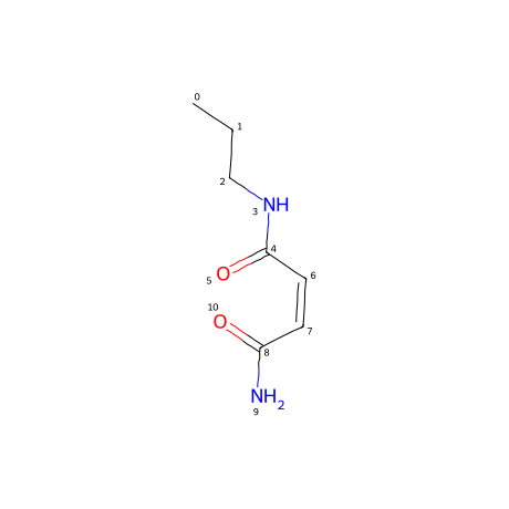 CCCNC(=O)/C=C\C(N)=O